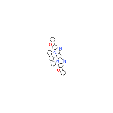 N#Cc1cc(C#N)c(-n2c3ccccc3c3c4oc5ccccc5c4ccc32)c(C2CCCCC2)c1-n1c2ccccc2c2c3oc4ccccc4c3ccc21